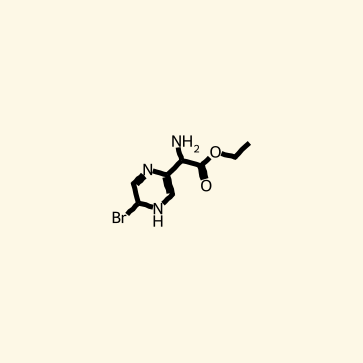 CCOC(=O)C(N)C1=CNC(Br)C=N1